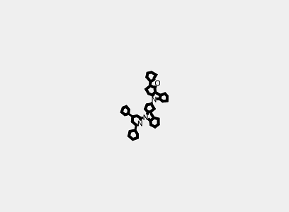 c1ccc(-c2cc(-c3ccccc3)nc(-n3c4ccccc4c4cc(-n5c6ccccc6c6c7oc8ccccc8c7ccc65)ccc43)c2)cc1